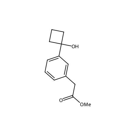 COC(=O)Cc1cccc(C2(O)CCC2)c1